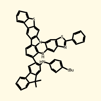 CC(C)(C)c1ccc(Nc2cc3c(cc2-c2ccc4c5cc6c(cc5n5c4c2Bc2cc4nc(-c7ccccc7)sc4cc2-5)sc2ccccc26)-c2ccccc2C3(C)C)cc1